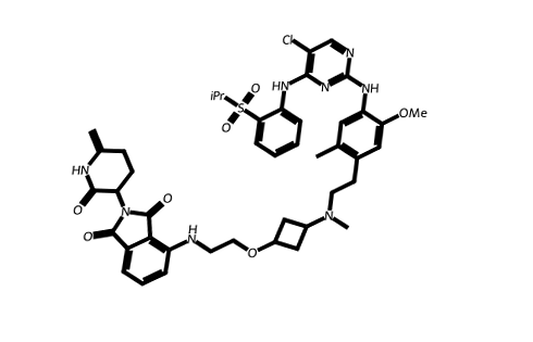 C=C1CCC(N2C(=O)c3cccc(NCCOC4CC(N(C)CCc5cc(OC)c(Nc6ncc(Cl)c(Nc7ccccc7S(=O)(=O)C(C)C)n6)cc5C)C4)c3C2=O)C(=O)N1